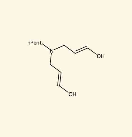 CCCCCN(CC=CO)CC=CO